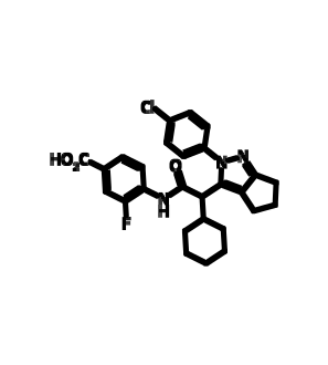 O=C(O)c1ccc(NC(=O)C(c2c3c(nn2-c2ccc(Cl)cc2)CCC3)C2CCCCC2)c(F)c1